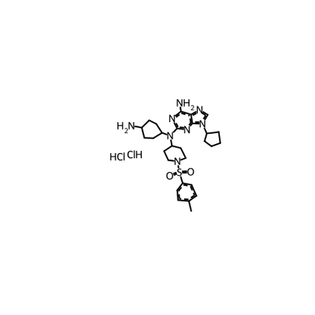 Cc1ccc(S(=O)(=O)N2CCC(N(c3nc(N)c4ncn(C5CCCC5)c4n3)C3CCC(N)CC3)CC2)cc1.Cl.Cl